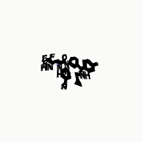 Cc1ccc(C(NCC2CC2)c2cccc(NC(=O)/C(=C/C(=N)C(F)(F)F)Nc3cccc(C#N)c3)c2)cc1